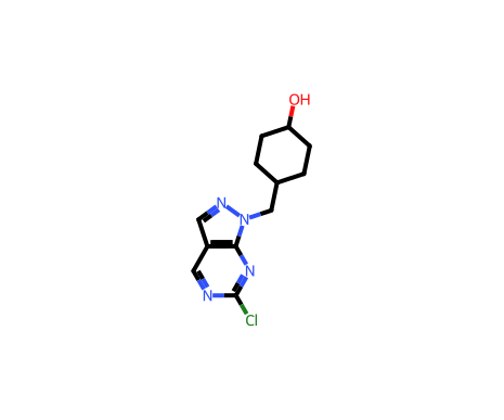 OC1CCC(Cn2ncc3cnc(Cl)nc32)CC1